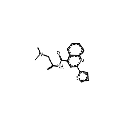 CC(CN(C)C)NC(=O)c1cc(-c2cccs2)nc2ccccc12